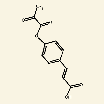 CC(=O)C(=O)Oc1ccc(/C=C/C(=O)O)cc1